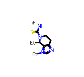 CCC1c2c(ncn2CC)CCN1C(=S)NC(C)C